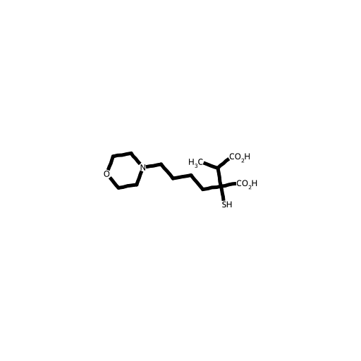 CC(C(=O)O)C(S)(CCCCN1CCOCC1)C(=O)O